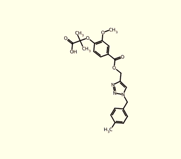 COc1cc(C(=O)OCc2cn(Cc3ccc(C)cc3)nn2)ccc1OC(C)(C)C(=O)O